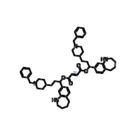 O=C(/C=C/C(=O)OC(CCC1CCN(Cc2ccccc2)CC1)c1ccc2c(c1)NCCCC2)OC(CCC1CCN(Cc2ccccc2)CC1)c1ccc2c(c1)NCCCC2